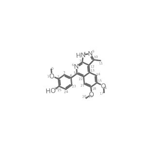 COc1cc(-c2nc3[nH]nc(C)c3c3cc(OC)c(OC)cc23)ccc1O